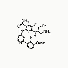 COc1cccc(-c2cc(Nc3nc(NC(CN)CC(C)C)c(F)cc3C(N)=O)ccn2)c1F